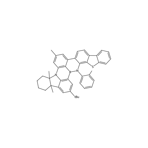 Cc1cc2c3c(c1)N1c4c(cc(C(C)(C)C)cc4C4(C)CCCCC14C)B3N(c1ccccc1C)c1c-2ccc2c1sc1ccccc12